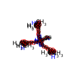 CC(=O)N[C@H]1[C@H]2OC[C@](COCCOCCOCCOCCn3cc(COCC(COCc4cn(CCOCCOCCOCCOC[C@@]56CO[C@@H](O5)[C@H](NC(C)=O)[C@H]5OC(C)(C)O[C@H]56)nn4)(COCc4cn(CCOCCOCCOCCOC[C@@]56CO[C@@H](O5)[C@H](NC(C)=O)[C@H]5OC(C)(C)O[C@H]56)nn4)NC(=O)CCCCCSSc4ccccn4)nn3)(O2)[C@@H]2OC(C)(C)O[C@H]12